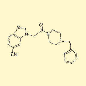 N#Cc1ccc2ncn(CC(=O)N3CCC(Cc4ccccc4)CC3)c2c1